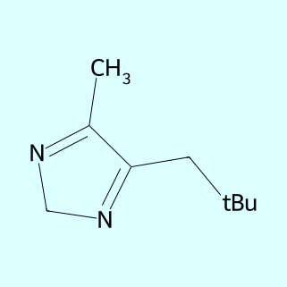 CC1=NCN=C1CC(C)(C)C